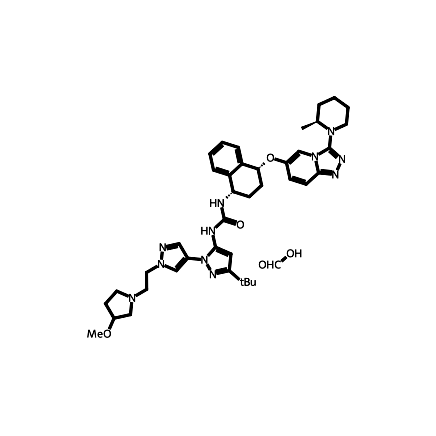 COC1CCN(CCn2cc(-n3nc(C(C)(C)C)cc3NC(=O)N[C@H]3CC[C@@H](Oc4ccc5nnc(N6CCCC[C@@H]6C)n5c4)c4ccccc43)cn2)C1.O=CO